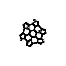 c1sc2c3c1c1ccc4c5scc6c5c5c(c3c3c7c8c(csc8c8ccc6n8c57)c5ccc2n53)n14